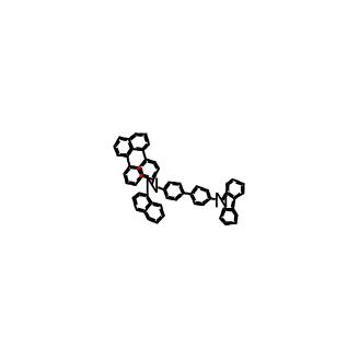 c1ccc(-c2cccc3cccc(-c4ccc(N(c5ccc(-c6ccc(-n7c8ccccc8c8ccccc87)cc6)cc5)c5cccc6ccccc56)cc4)c23)cc1